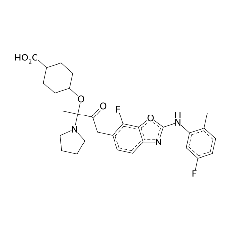 Cc1ccc(F)cc1Nc1nc2ccc(CC(=O)C(C)(OC3CCC(C(=O)O)CC3)N3CCCC3)c(F)c2o1